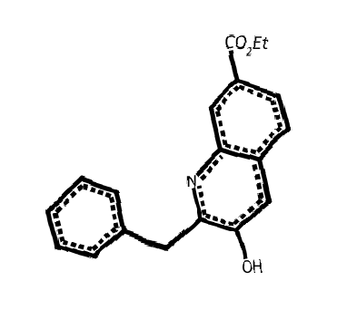 CCOC(=O)c1ccc2cc(O)c(Cc3ccccc3)nc2c1